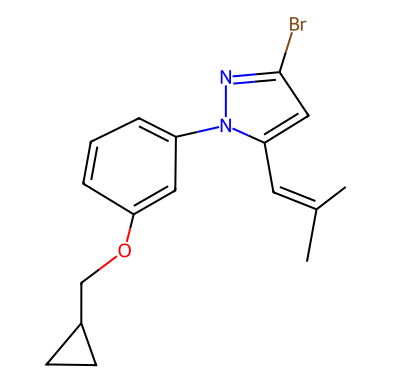 CC(C)=Cc1cc(Br)nn1-c1cccc(OCC2CC2)c1